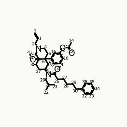 C=CCN1CCC2(c3cccc(OC(C)=O)c3)CC(N(CC(C)C)C(=O)CCCCCc3ccccc3)CCC2(OC)C1